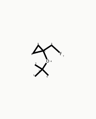 CC(C)(C)OC1(CF)CC1